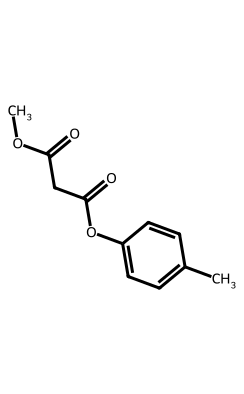 COC(=O)CC(=O)Oc1ccc(C)cc1